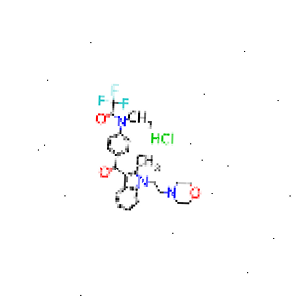 Cc1c(C(=O)c2ccc(N(C)C(=O)C(F)(F)F)cc2)c2ccccc2n1CCN1CCOCC1.Cl